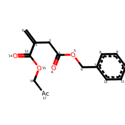 C=C(CC(=O)OCc1ccccc1)C(=O)OCC(C)=O